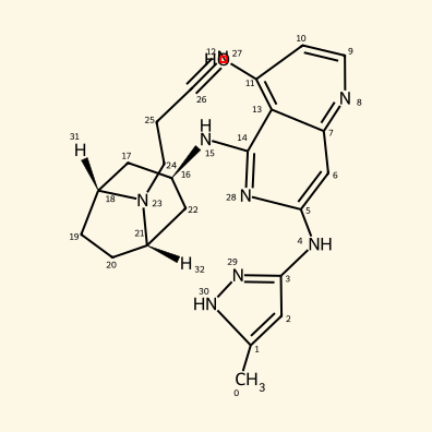 Cc1cc(Nc2cc3nccc(O)c3c(N[C@@H]3C[C@H]4CC[C@@H](C3)N4CCC#N)n2)n[nH]1